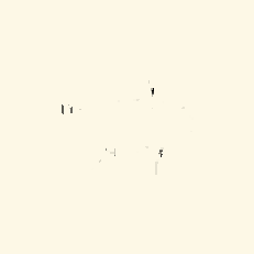 CC(C)C1C[C@@H]2CCC[C@@H]2CN1C